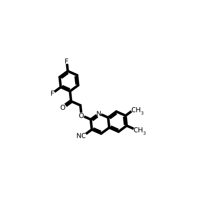 Cc1cc2cc(C#N)c(OCC(=O)c3ccc(F)cc3F)nc2cc1C